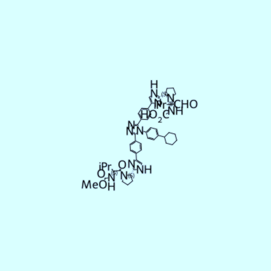 COC(=O)N[C@H](C(=O)N1CCC[C@H]1c1nc(-c2ccc(-c3nnc(-c4ccc(-c5c[nH]c([C@@H]6CCCN6[C@](C=O)(NC(=O)O)C(C)C)n5)cc4)n3-c3ccc(C4CCCCC4)cc3)cc2)c[nH]1)C(C)C